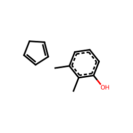 C1=CCC=C1.Cc1cccc(O)c1C